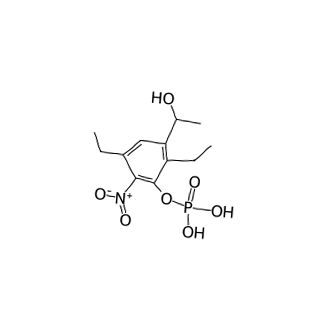 CCc1cc(C(C)O)c(CC)c(OP(=O)(O)O)c1[N+](=O)[O-]